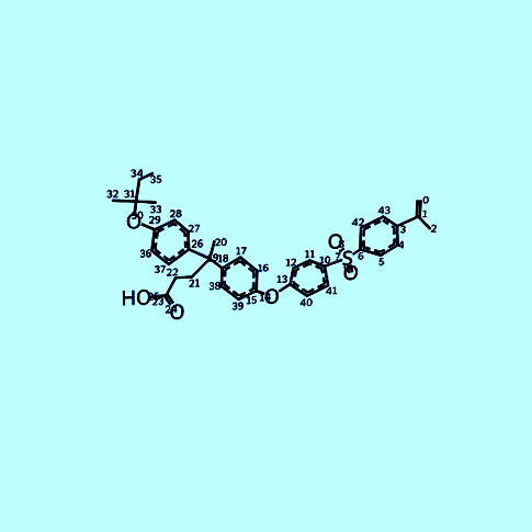 C=C(C)c1ccc(S(=O)(=O)c2ccc(Oc3ccc(C(C)(CCC(=O)O)c4ccc(OC(C)(C)CC)cc4)cc3)cc2)cc1